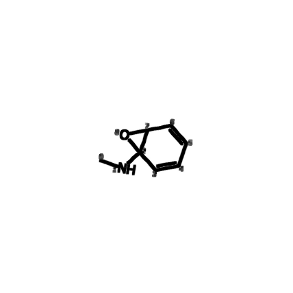 CNC12C=CC=CC1O2